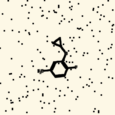 Fc1ccc(C(F)(F)F)cc1OC1CC1